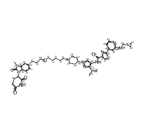 Cn1c(=O)n(C2CCC(=O)NC2=O)c2ccc(CCCOCCCCCN3CCC(n4cc(NC(=O)c5coc(-c6ccnc(NCC7CC7)c6)n5)c(C(F)F)n4)CC3)cc21